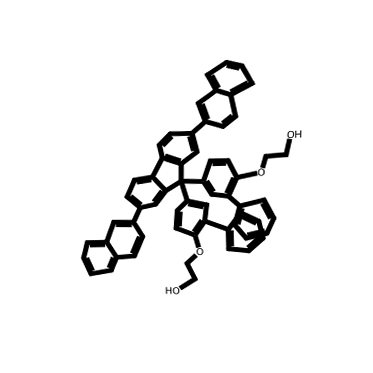 OCCOc1ccc(C2(c3ccc(OCCO)c(-c4ccccc4)c3)c3cc(-c4ccc5ccccc5c4)ccc3-c3ccc(-c4ccc5ccccc5c4)cc32)cc1-c1ccccc1